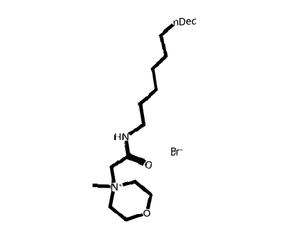 CCCCCCCCCCCCCCCCNC(=O)C[N+]1(C)CCOCC1.[Br-]